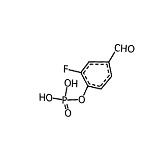 O=Cc1ccc(OP(=O)(O)O)c(F)c1